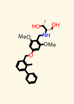 COc1cc(OCc2cccc(-c3ccccc3)c2C)cc(OC)c1CN[C@@H](CO)[C@@H](C)O